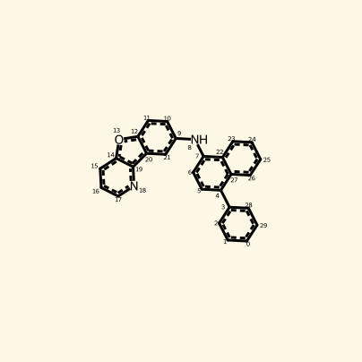 c1ccc(-c2ccc(Nc3ccc4oc5cccnc5c4c3)c3ccccc23)cc1